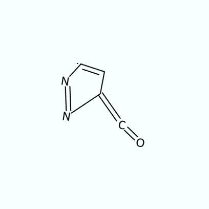 O=C=C1C=[C]N=N1